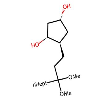 CCCCCCCC(CC[C@@H]1C[C@@H](O)C[C@H]1O)(OC)OC